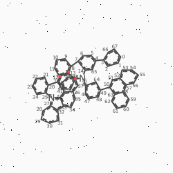 c1ccc(-c2ccc(-c3ccccc3)c(N(c3ccc(-c4ccccc4-n4c5ccccc5c5ccc6ccccc6c54)cc3)c3cccc(-c4cc5ccccc5c5ccccc45)c3)c2)cc1